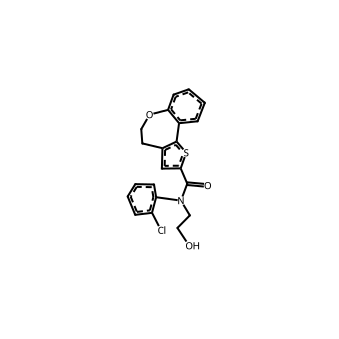 O=C(c1cc2c(s1)-c1ccccc1OCC2)N(CCO)c1ccccc1Cl